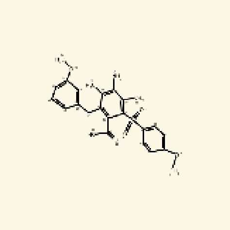 COc1ccc(S(=O)(=O)c2c(C)c(N)c(C)c(Cc3cccc(OC)c3)c2C(=O)O)cc1